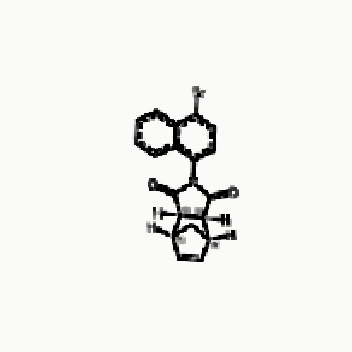 O=C1[C@@H]2[C@H](C(=O)N1c1ccc(Br)c3ccccc13)[C@@H]1C=C[C@H]2C1